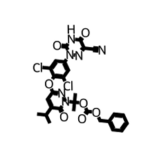 CC(C)c1cc(Oc2c(Cl)cc(-n3nc(C#N)c(=O)[nH]c3=O)cc2Cl)nn(C(C)(C)OC(=O)OCc2ccccc2)c1=O